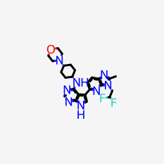 Cc1nc2ccc(-c3c[nH]c4ncnc(NC5CCC(N6CCOCC6)CC5)c34)nc2n1CC(F)F